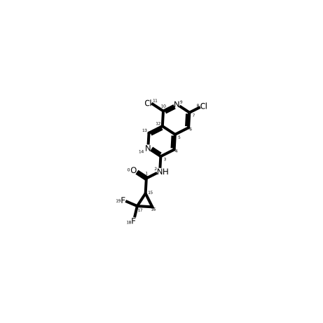 O=C(Nc1cc2cc(Cl)nc(Cl)c2cn1)C1CC1(F)F